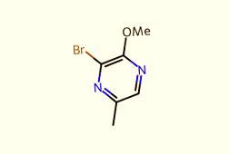 COc1ncc(C)nc1Br